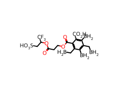 BCc1c(B)c(CB)c(C(=O)OCCC(=O)OC(CS(=O)(=O)O)C(F)(F)F)c(C(=O)O)c1B